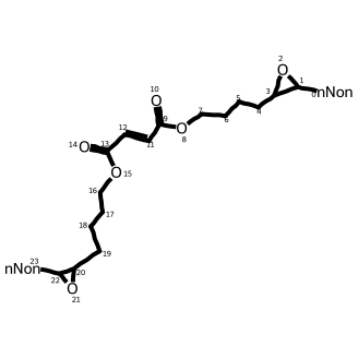 CCCCCCCCCC1OC1CCCCOC(=O)C=CC(=O)OCCCCC1OC1CCCCCCCCC